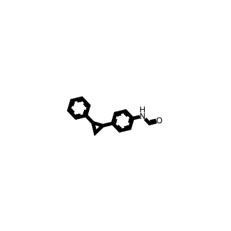 O=CNc1ccc(C2CC2c2ccccc2)cc1